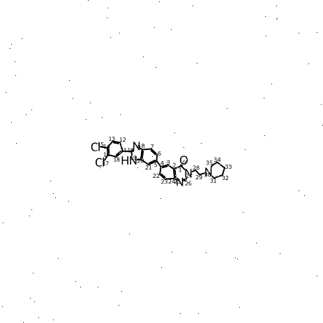 O=c1c2cc(-c3ccc4nc(-c5ccc(Cl)c(Cl)c5)[nH]c4c3)ccc2ncn1CCN1CCCCC1